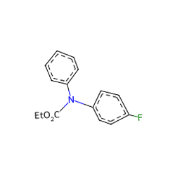 CCOC(=O)N(c1ccccc1)c1ccc(F)cc1